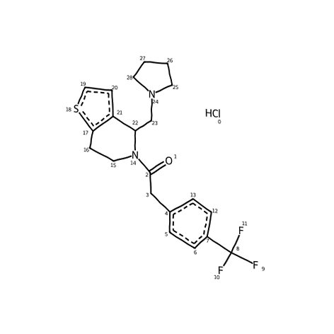 Cl.O=C(Cc1ccc(C(F)(F)F)cc1)N1CCc2sccc2C1CN1CCCC1